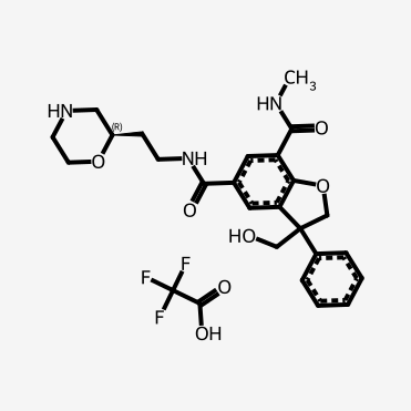 CNC(=O)c1cc(C(=O)NCC[C@@H]2CNCCO2)cc2c1OCC2(CO)c1ccccc1.O=C(O)C(F)(F)F